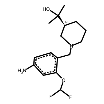 CC(C)(O)[C@H]1CCCN(Cc2ccc(N)cc2OC(F)F)C1